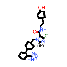 CCCc1nc(Cl)c(C(=O)NCCc2ccc(O)cc2)n1Cc1ccc(-c2ccccc2-c2nnn[nH]2)cc1